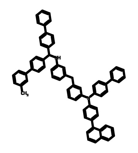 Cc1cccc(-c2ccc(C(Nc3cccc(Cc4cccc(N(c5ccc(-c6ccccc6)cc5)c5ccc(-c6cccc7ccccc67)cc5)c4)c3)c3ccc(-c4ccccc4)cc3)cc2)c1